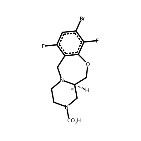 O=C(O)N1CCN2Cc3c(F)cc(Br)c(F)c3OC[C@H]2C1